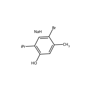 Cc1cc(O)c(C(C)C)cc1Br.[NaH]